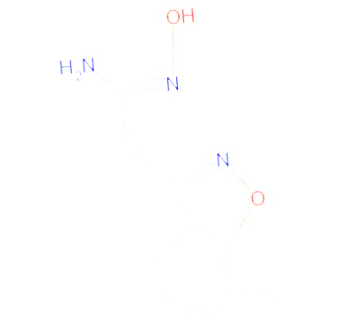 Cc1cccc2c(CC(N)=NO)noc12